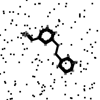 C=Cc1cnnc(CCc2cccnc2)c1